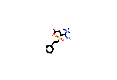 C[N+](C)(C)C(N)C(CC(=O)[O-])S(=O)(=O)C=Cc1ccccc1